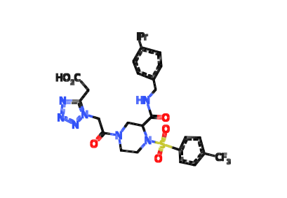 CC(C)c1ccc(CNC(=O)C2CN(C(=O)Cn3nnnc3CC(=O)O)CCN2S(=O)(=O)c2ccc(C(F)(F)F)cc2)cc1